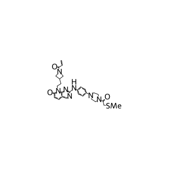 C=CC(=O)N1CC(CCn2c(=O)ccc3cnc(Nc4ccc(N5CCN(C(=O)CSC)CC5)cc4)nc32)C1